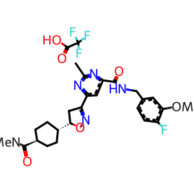 CNC(=O)[C@H]1CC[C@H](C2CC(c3cc(C(=O)NCc4ccc(F)c(OC)c4)nc(C)n3)=NO2)CC1.O=C(O)C(F)(F)F